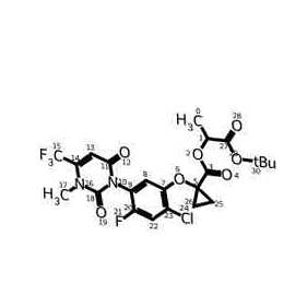 CC(OC(=O)C1(Oc2cc(-n3c(=O)cc(C(F)(F)F)n(C)c3=O)c(F)cc2Cl)CC1)C(=O)OC(C)(C)C